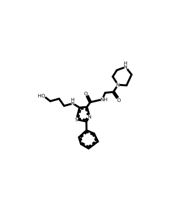 O=C(NCC(=O)N1CCNCC1)c1nc(-c2ccccc2)sc1NCCCO